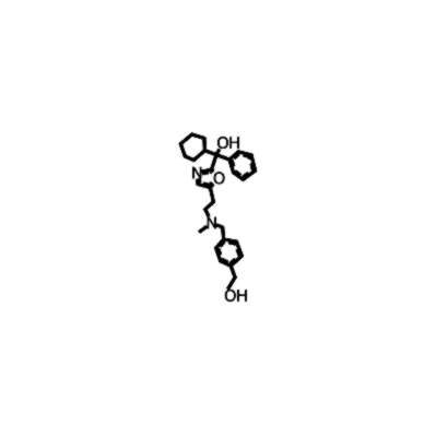 CN(CCc1cnc(C(O)(c2ccccc2)C2CCCCC2)o1)Cc1ccc(CCO)cc1